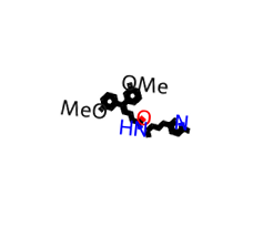 COc1cccc(C(=CCCC(=O)NC(C)CCCc2ccc(C)nc2)c2cccc(OC)c2)c1